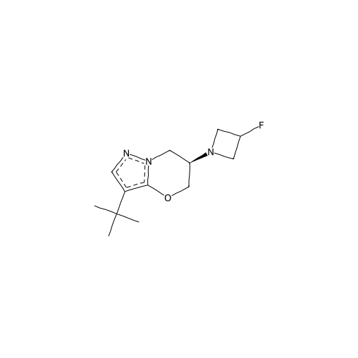 CC(C)(C)c1cnn2c1OC[C@H](N1CC(F)C1)C2